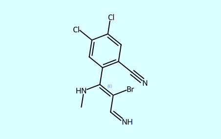 CN/C(=C(/Br)C=N)c1cc(Cl)c(Cl)cc1C#N